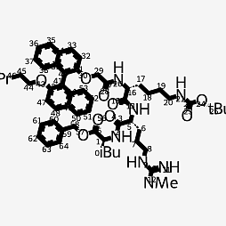 CCC(C)[C@H](NC(=O)[C@@H](CCCNC(=N)NC)NC(=O)[C@@H](CCCCNC(=O)OC(C)(C)C)NC(=O)COc1ccc2ccccc2c1-c1c(OCCC(C)C)ccc2ccccc12)C(=O)OCc1ccccc1